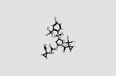 N#CC1(NC(=O)O[C@H]2C[C@@H](S(=O)(=O)c3ccc(F)cc3C(F)(F)F)CN2C(=O)C2(C(F)(F)F)CC2)CC1